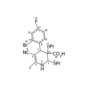 CCCC1NC(C)=C(C#N)C(c2ccc(F)cc2Br)C1(CCC)C(=O)O